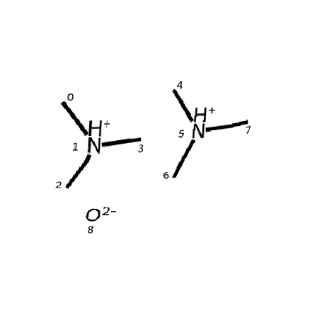 C[NH+](C)C.C[NH+](C)C.[O-2]